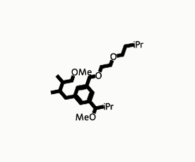 COCC(C)C(C)Cc1cc(COCCOCCC(C)C)cc(C(OC)C(C)C)c1